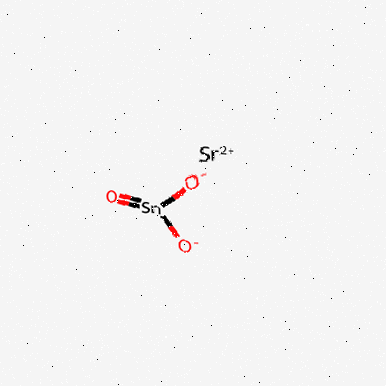 [O]=[Sn]([O-])[O-].[Sr+2]